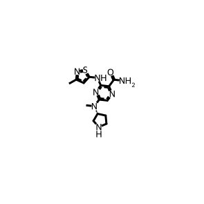 Cc1cc(Nc2nc(N(C)[C@@H]3CCNC3)cnc2C(N)=O)sn1